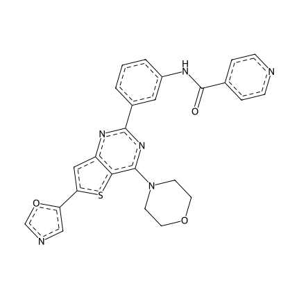 O=C(Nc1cccc(-c2nc(N3CCOCC3)c3sc(-c4cnco4)cc3n2)c1)c1ccncc1